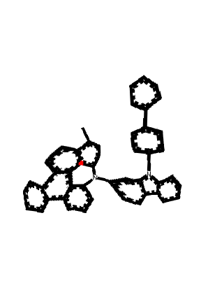 Cc1ccc(N(c2ccc3c4ccccc4n(-c4ccc(-c5ccccc5)cc4)c3c2)c2cccc3c4ccccc4c4ccccc4c23)cc1